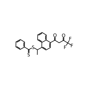 CC(SC(=S)c1ccccc1)c1ccc(C(=O)CC(=O)C(F)(F)F)c2ccccc12